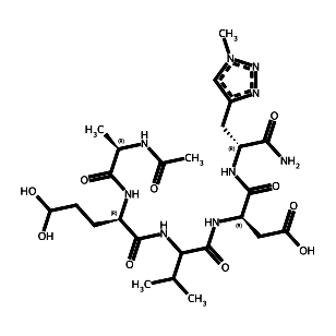 CC(=O)N[C@H](C)C(=O)N[C@H](CCC(O)O)C(=O)NC(C(=O)N[C@H](CC(=O)O)C(=O)N[C@H](Cc1cn(C)nn1)C(N)=O)C(C)C